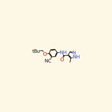 Cc1[nH]ncc1C(=O)Nc1ccc(OCC(C)(C)C)c(C#N)c1